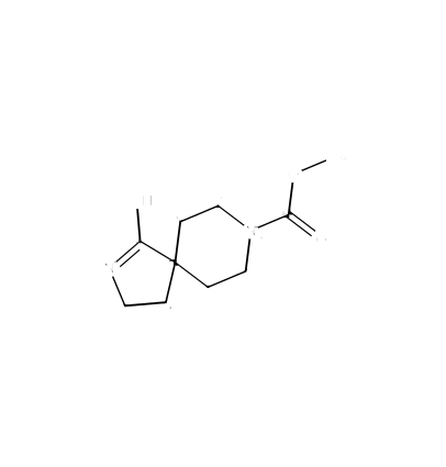 CC1=NCCC12CCN(C(=O)OC(C)(C)C)CC2